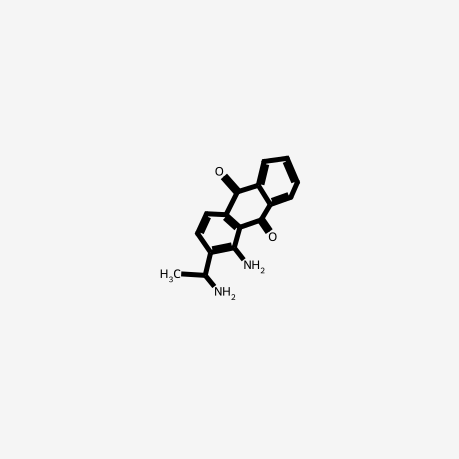 CC(N)c1ccc2c(c1N)C(=O)c1ccccc1C2=O